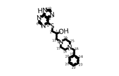 OC(CSc1ncnc2[nH]cnc12)CN1CCN(Cc2ccccc2)CC1